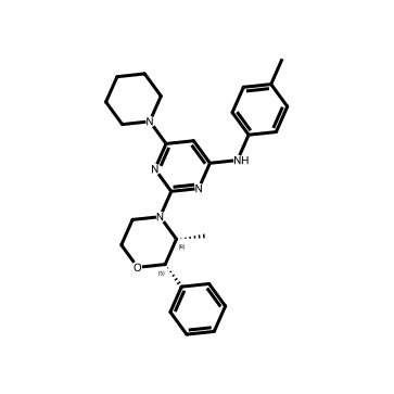 Cc1ccc(Nc2cc(N3CCCCC3)nc(N3CCO[C@@H](c4ccccc4)[C@H]3C)n2)cc1